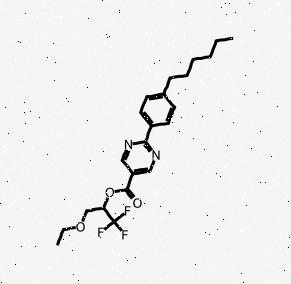 CCCCCCc1ccc(-c2ncc(C(=O)OC(COCC)C(F)(F)F)cn2)cc1